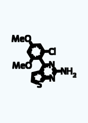 COc1cc(Cl)c(-c2nc(N)nc3sccc23)c(OC)c1